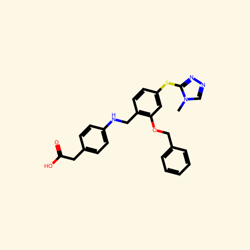 Cn1cnnc1Sc1ccc(CNc2ccc(CC(=O)O)cc2)c(OCc2ccccc2)c1